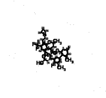 Cc1cc(-c2c(C)cc(F)cc2C)cc([C@H](CC(=O)O)NC(=O)C(CC(C)C)n2cc(CCN3CCC3)c(C(F)(F)F)cc2=O)c1F